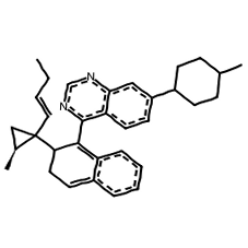 CCC=CC1(C2CC=c3ccccc3=C2c2ncnc3cc(C4CCC(C)CC4)ccc23)C[C@@H]1C